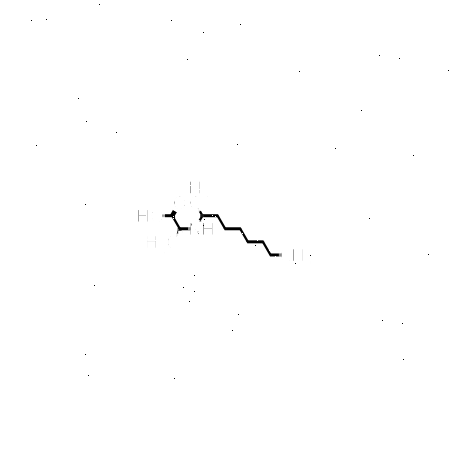 CCCCCCCC(C)N[C@@H](C)C(=O)O